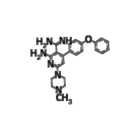 CN1CCN(c2cc(-c3ccc(Oc4ccccc4)cc3)c(C(=N)N)c(N)n2)CC1